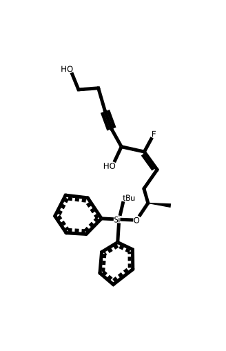 C[C@H](C/C=C(/F)C(O)C#CCCO)O[Si](c1ccccc1)(c1ccccc1)C(C)(C)C